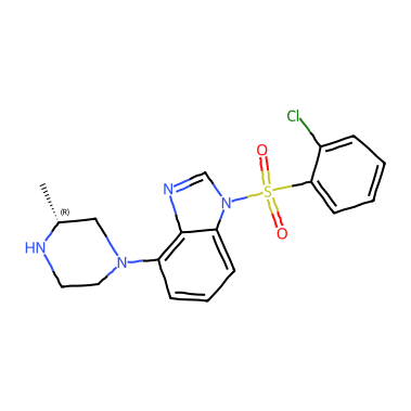 C[C@@H]1CN(c2cccc3c2ncn3S(=O)(=O)c2ccccc2Cl)CCN1